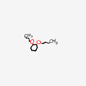 CCCCOC1CCCCC1OCCCC